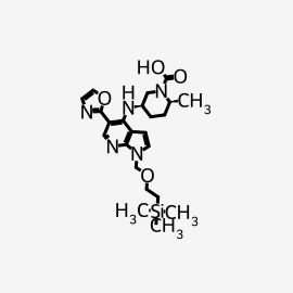 C[C@H]1CC[C@@H](Nc2c(-c3ncco3)cnc3c2ccn3COCC[Si](C)(C)C)CN1C(=O)O